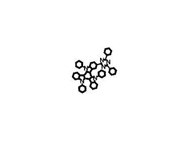 c1ccc(-c2nc(-c3ccccc3)nc(-c3ccc4c(c3)c3c5c(c6ccccc6n5-c5ccccc5)c5c(c6ccccc6n5-c5ccccc5)c3n4-c3ccccc3)n2)cc1